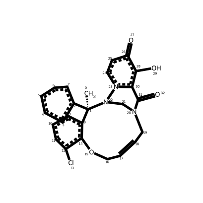 C[C@@]1(c2ccccc2)c2cccc(Cl)c2OC/C=C\CN2CN1n1ccc(=O)c(O)c1C2=O